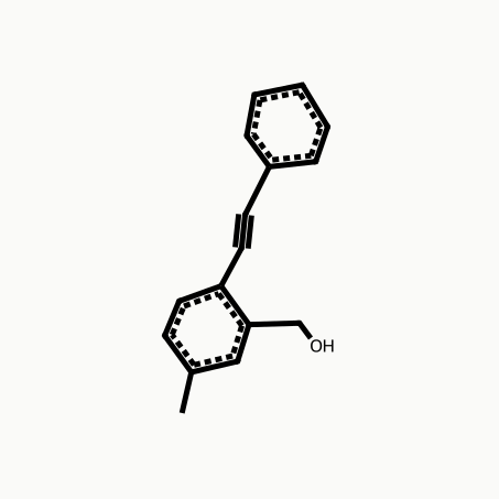 Cc1ccc(C#Cc2ccccc2)c(CO)c1